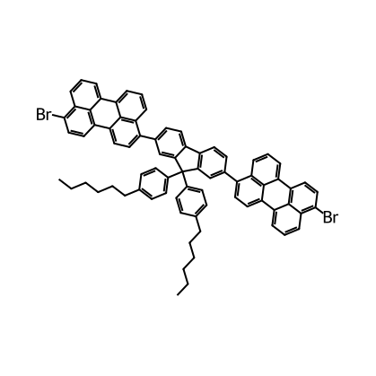 CCCCCCc1ccc(C2(c3ccc(CCCCCC)cc3)c3cc(-c4ccc5c6cccc7c(Br)ccc(c8cccc4c85)c76)ccc3-c3ccc(-c4ccc5c6ccc(Br)c7cccc(c8cccc4c85)c76)cc32)cc1